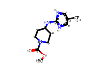 CC(C)(C)OC(=O)N1CCC(Nc2ncc(C(F)(F)F)cn2)CC1